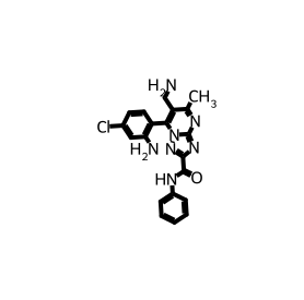 Cc1nc2nc(C(=O)Nc3ccccc3)nn2c(-c2ccc(Cl)cc2N)c1CN